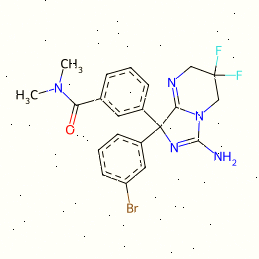 CN(C)C(=O)c1cccc(C2(c3cccc(Br)c3)N=C(N)N3CC(F)(F)CN=C32)c1